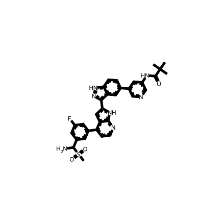 CC(C)(C)C(=O)Nc1cncc(-c2ccc3[nH]nc(-c4cc5c(-c6cc(F)cc(C(N)S(C)(=O)=O)c6)ccnc5[nH]4)c3c2)c1